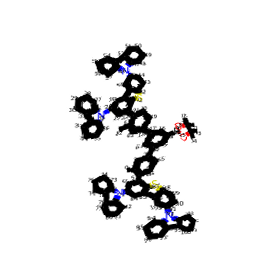 Cc1cc(-c2cc(B3OC(C)(C)C(C)(C)O3)cc(-c3ccc(-c4cc(-n5c6ccccc6c6ccccc65)cc5c4sc4ccc(-n6c7ccccc7c7ccccc76)cc45)c(C)c3)c2)ccc1-c1cc(-n2c3ccccc3c3ccccc32)cc2c1sc1ccc(-n3c4ccccc4c4ccccc43)cc12